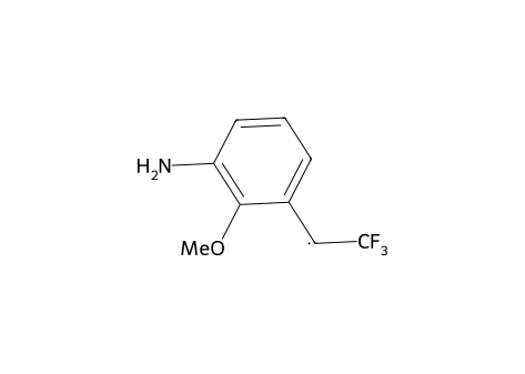 COc1c(N)cccc1[CH]C(F)(F)F